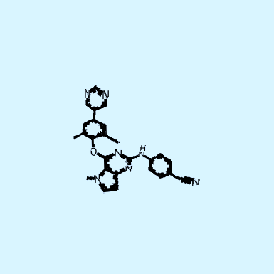 Cc1cc(-c2cncnc2)cc(C)c1Oc1nc(Nc2ccc(C#N)cc2)nc2ccn(C)c12